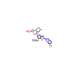 COc1cc(C(=O)N2CC(C)OCC2C2CC(O)C2)cc2nc(NCc3cc(Cl)ccn3)oc12